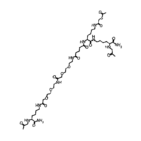 CC(=O)CN[C@@H](CCCCNC(=O)COCCOCCNC(=O)COCCOCCNC(=O)CCCC(=O)N[C@@H](CCCCNC(=O)CSC(C)=O)C(=O)NCCCC[C@H](NCC(C)=O)C(N)=O)C(N)=O